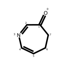 O=C1C=NC=CCC1